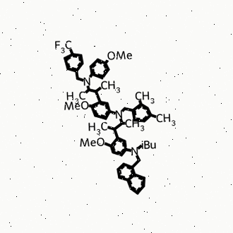 CCC(C)N(Cc1cccc2ccccc12)c1ccc(OC)c(C(C)C(C)N(Cc2ccc(C)cc2C)c2ccc(OC)c(C(C)C(C)N(Cc3ccc(C(F)(F)F)cc3)c3ccc(OC)cc3)c2)c1